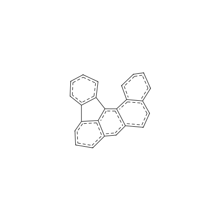 c1ccc2c(c1)-c1cccc3cc4ccc5ccccc5c4c-2c13